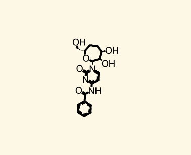 O=C(Nc1ccn([C@@H]2O[C@H](CO)CC[C@@H](O)[C@H]2O)c(=O)n1)c1ccccc1